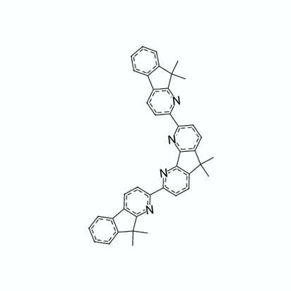 CC1(C)c2ccc(-c3ccc4c(n3)C(C)(C)c3ccccc3-4)nc2-c2nc(-c3ccc4c(n3)C(C)(C)c3ccccc3-4)ccc21